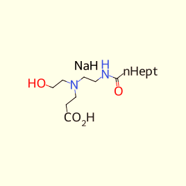 CCCCCCCC(=O)NCCN(CCO)CCC(=O)O.[NaH]